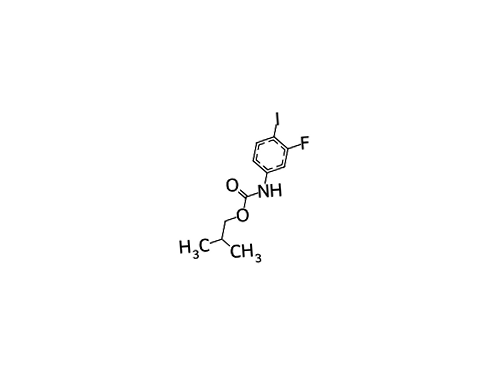 CC(C)COC(=O)Nc1ccc(I)c(F)c1